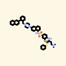 CN(C)CCC(CSc1ccccc1)Nc1ccc(S(=O)(=O)Nc2cccc3cc(N4CCN(Cc5ccccc5-c5ccc6ccccc6c5)CC4)ccc23)cc1[N+](=O)[O-]